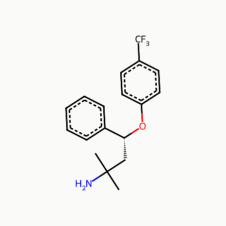 CC(C)(N)C[C@@H](Oc1ccc(C(F)(F)F)cc1)c1ccccc1